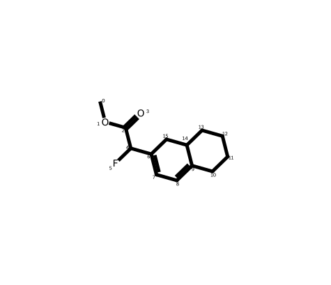 COC(=O)C(F)C1=CC=C2CCCCC2C1